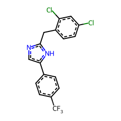 FC(F)(F)c1ccc(-c2cnc(Cc3ccc(Cl)cc3Cl)[nH]2)cc1